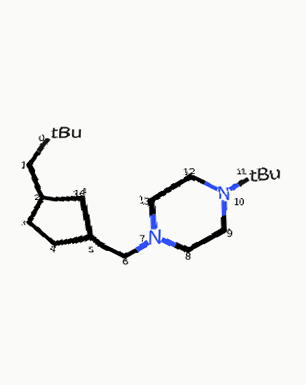 CC(C)(C)CC1CCC(CN2CCN(C(C)(C)C)CC2)C1